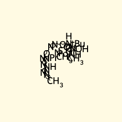 Cc1ncsc1-c1ccc([C@H](C)NC(=O)[C@@H]2C[C@@H](O)CN2C(=O)[C@@H](NC(=O)COCCCN2CCN(CCCOCc3nc4cnc(Nc5ccnc(N6CCC(C)CC6)n5)cc4n3C(C)C)CC2)C(C)(C)C)cc1